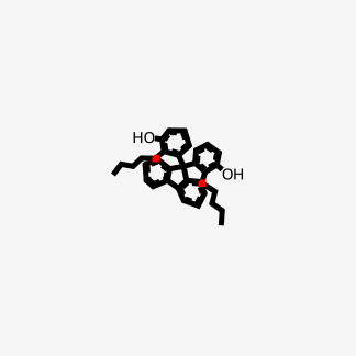 CCCCCc1c(O)cccc1C1(c2cccc(O)c2CCCCC)c2ccccc2-c2ccccc21